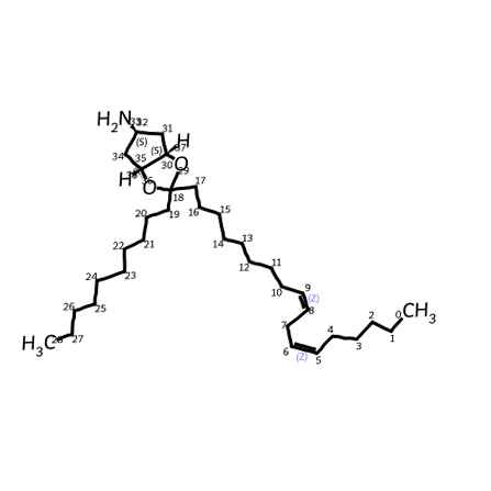 CCCCC/C=C\C/C=C\CCCCCCCCC1(CCCCCCCCCC)O[C@H]2C[C@H](N)C[C@H]2O1